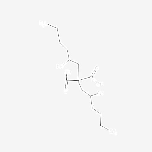 CCCCC(O)CC(CC(O)CCCC)(C(=O)O)C(=O)O